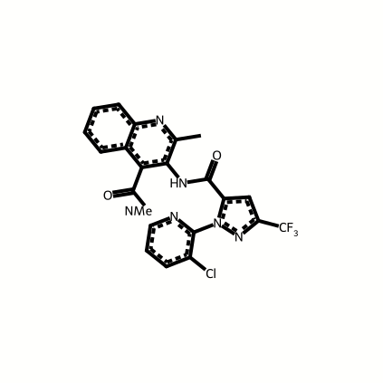 CNC(=O)c1c(NC(=O)c2cc(C(F)(F)F)nn2-c2ncccc2Cl)c(C)nc2ccccc12